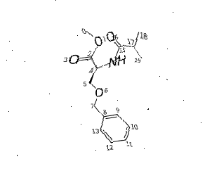 COC(=O)[C@H](COCc1ccccc1)NC(=O)C(C)C